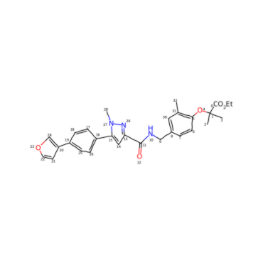 CCOC(=O)C(C)(C)Oc1ccc(CNC(=O)c2cc(-c3ccc(-c4ccoc4)cc3)n(C)n2)cc1C